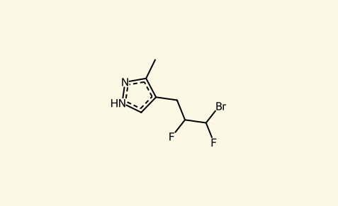 Cc1n[nH]cc1CC(F)C(F)Br